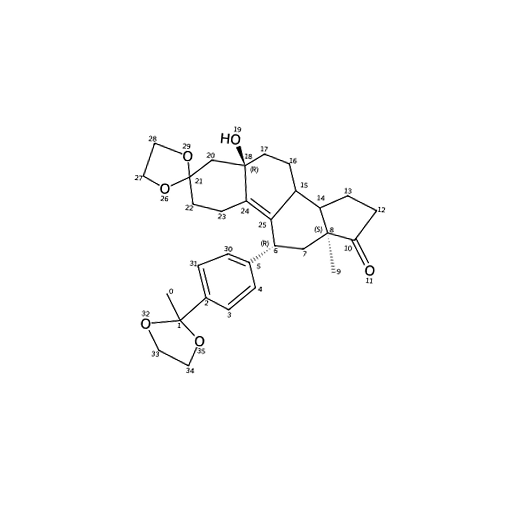 CC1(c2ccc([C@H]3C[C@]4(C)C(=O)CCC4C4CC[C@@]5(O)CC6(CCC5=C43)OCCO6)cc2)OCCO1